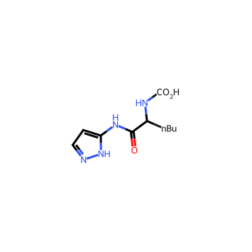 CCCCC(NC(=O)O)C(=O)Nc1ccn[nH]1